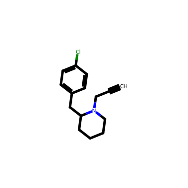 C#CCN1CCCCC1Cc1ccc(Cl)cc1